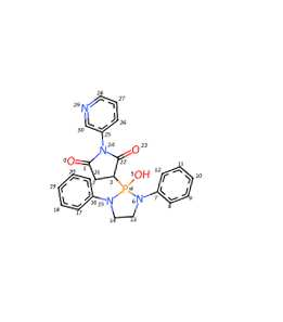 O=C1CC([P]2(O)N(c3ccccc3)CCN2c2ccccc2)C(=O)N1c1cccnc1